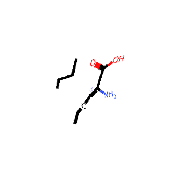 CCC/C=C(\N)C(=O)O.CCCC